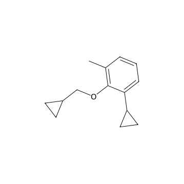 Cc1cccc(C2CC2)c1OCC1CC1